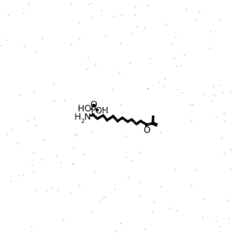 C=C(C)C(=O)CCCCCCCCCCC(N)P(=O)(O)O